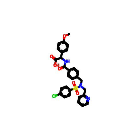 COc1ccc(C(NC(=O)c2ccc(CN(Cc3ccccn3)S(=O)(=O)c3ccc(Cl)cc3)cc2)C(=O)O)cc1